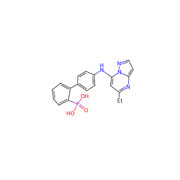 CCc1cc(Nc2ccc(-c3ccccc3P(=O)(O)O)cc2)n2nccc2n1